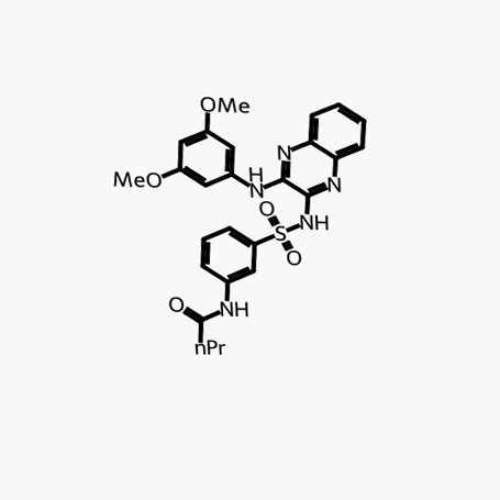 CCCC(=O)Nc1cccc(S(=O)(=O)Nc2nc3ccccc3nc2Nc2cc(OC)cc(OC)c2)c1